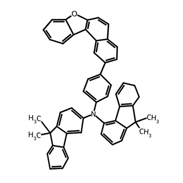 CC1(C)C2=C(C=CCC2)c2c(N(c3ccc(-c4ccc5ccc6oc7ccccc7c6c5c4)cc3)c3ccc4c(c3)-c3ccccc3C4(C)C)cccc21